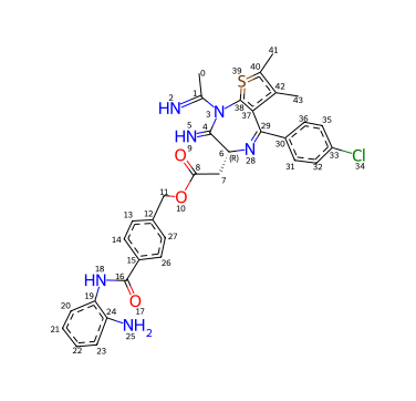 CC(=N)N1C(=N)[C@@H](CC(=O)OCc2ccc(C(=O)Nc3ccccc3N)cc2)N=C(c2ccc(Cl)cc2)c2c1sc(C)c2C